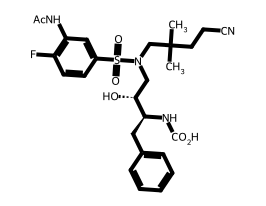 CC(=O)Nc1cc(S(=O)(=O)N(C[C@@H](O)[C@H](Cc2ccccc2)NC(=O)O)CC(C)(C)CCC#N)ccc1F